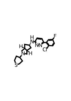 Fc1ccc(Cl)c(-c2ccc(N[C@H]3C[C@@H]4CN(C5CCSCC5)C[C@@H]4C3)nn2)c1